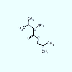 CC(C)COC(=O)[C@@H](N)C(C)C